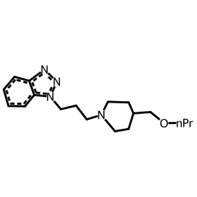 CCCOCC1CCN(CCCn2nnc3ccccc32)CC1